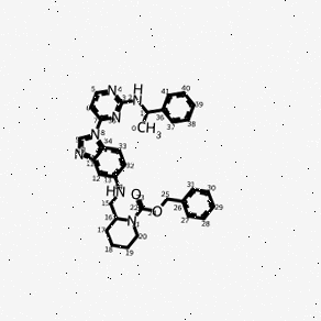 CC(Nc1nccc(-n2cnc3cc(NCC4CCCCN4C(=O)OCc4ccccc4)ccc32)n1)c1ccccc1